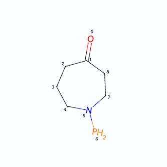 O=C1CCCN(P)CC1